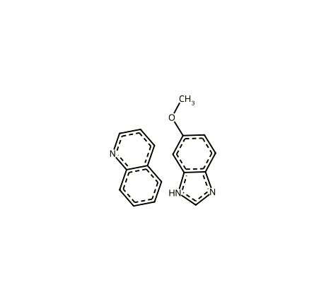 COc1ccc2nc[nH]c2c1.c1ccc2ncccc2c1